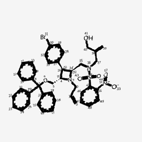 C=CCN1[C@H](COC(c2ccccc2)(c2ccccc2)c2ccccc2)[C@@H](c2ccc(Br)cc2)[C@H]1CN(CC(=C)CO)S(=O)(=O)c1ccccc1[N+](=O)[O-]